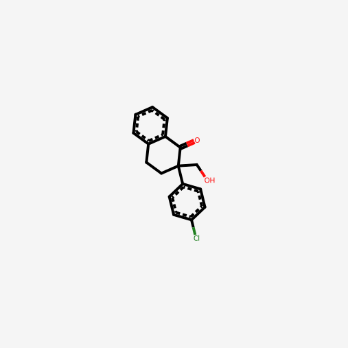 O=C1c2ccccc2CCC1(CO)c1ccc(Cl)cc1